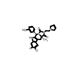 C[C@@]12Cc3c([nH]c4cc(F)c(Cl)cc34)[C@@H](c3cccc(O)c3)N1C(=O)N(CCN1CC=CC1)C2=O